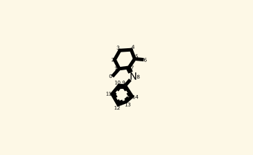 CC1CCCC(C)C1=Nc1ccccc1